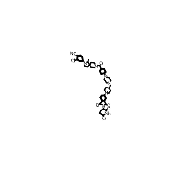 CC1N(c2ccc(C#N)c(Cl)c2)CCC12CCN(C(=O)c1ccc(N3CCN(CC4CCN(c5ccc6c(c5)C(=O)N(C5CCC(=O)NC5=O)C6=O)CC4)CC3)cc1)CC2